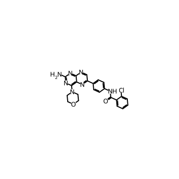 Nc1nc(N2CCOCC2)c2nc(-c3ccc(NC(=O)c4ccccc4Cl)cc3)cnc2n1